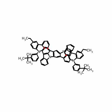 CCc1ccc(N(c2cccc(C(C)(C)C)c2)c2ccc3c4cc5c(cc4n4c6ccccc6c2c34)c2ccc(N(c3cccc(C(C)(C)C)c3)c3ccc(CC)cc3-c3ccccc3)c3c4ccccc4n5c23)c(-c2ccccc2)c1